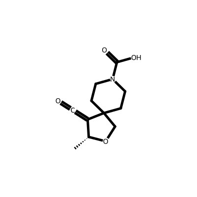 C[C@H]1OCC2(CCN(C(=O)O)CC2)C1=C=O